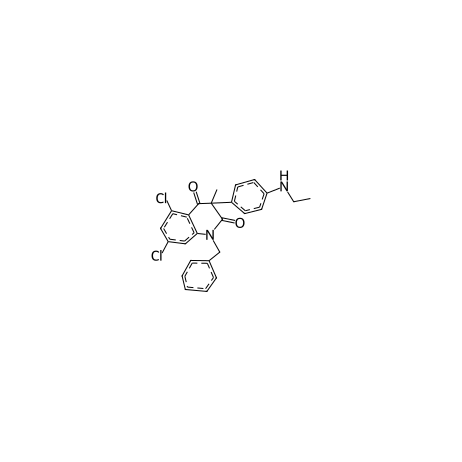 CCNc1ccc(C2(C)C(=O)c3c(Cl)cc(Cl)cc3N(Cc3ccccc3)C2=O)cc1